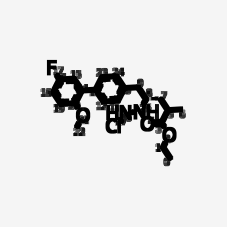 CCOC(=O)C(C)C[C@@H](Cc1ccc(-c2cc(F)ccc2OC)cc1)NNCl